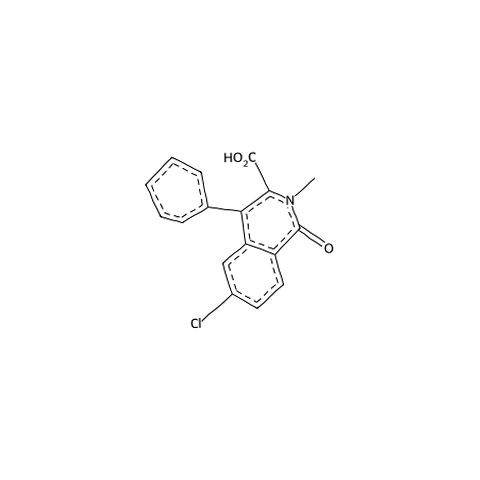 Cn1c(C(=O)O)c(-c2ccccc2)c2cc(Cl)ccc2c1=O